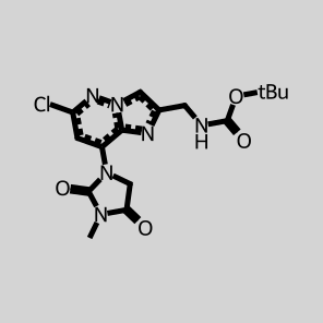 CN1C(=O)CN(c2cc(Cl)nn3cc(CNC(=O)OC(C)(C)C)nc23)C1=O